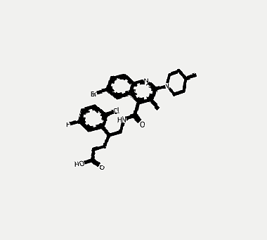 Cc1c(N2CCC(C)CC2)nc2ccc(Br)cc2c1C(=O)NCC(CCC(=O)O)c1cc(F)ccc1Cl